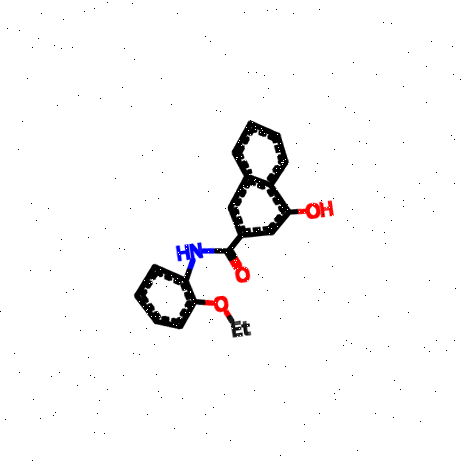 CCOc1ccccc1NC(=O)c1cc(O)c2ccccc2c1